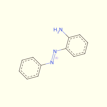 Nc1ccccc1/N=N/c1ccccc1